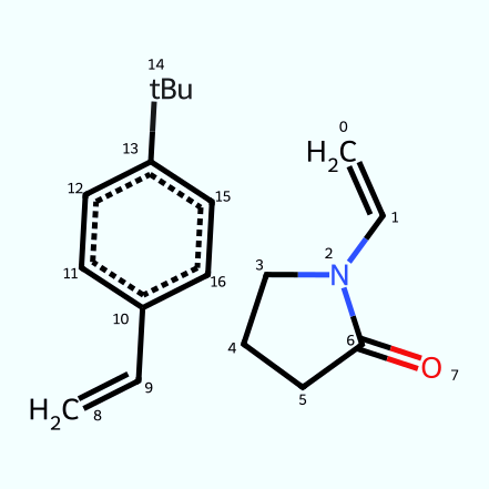 C=CN1CCCC1=O.C=Cc1ccc(C(C)(C)C)cc1